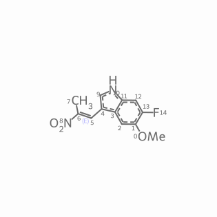 COc1cc2c(/C=C(\C)[N+](=O)[O-])c[nH]c2cc1F